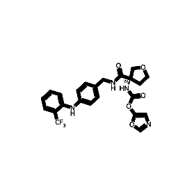 O=C(N[C@@]1(C(=O)NCc2ccc(Nc3ccccc3C(F)(F)F)cc2)CCOC1)Oc1cnco1